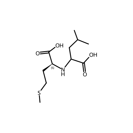 CSCC[C@H](NC(CC(C)C)C(=O)O)C(=O)O